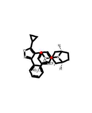 O=C(O)c1cccc(N2[C@@H]3CC[C@H]2C[C@@H](OCc2c(-c4ccccc4OC(F)(F)F)noc2C2CC2)C3)n1